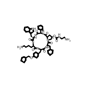 NCCCCC1NC(=O)[C@@H](Cc2c[nH]c3ccccc23)NC(=O)C(c2ccccc2)NC(=O)C2C[C@@H](OC(=O)NCCN)CN2C(=O)C(Cc2ccccc2)NC(=O)C(Cc2ccc(OCc3ccccc3)cc2)NC1=O